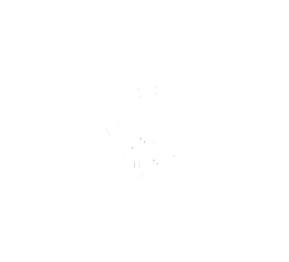 C=CC1(C(=O)OC(c2ccccc2)c2ccccc2)CS[C@@H]2C(N(C(C)=O)c3ccccc3)C(=O)N2C1